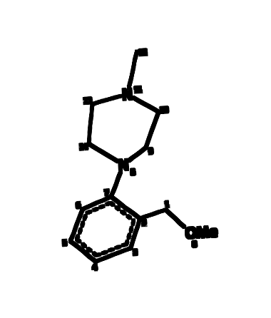 COCc1ccccc1N1CCN(C)CC1